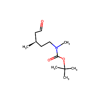 C[C@@H](CC=O)CCN(C)C(=O)OC(C)(C)C